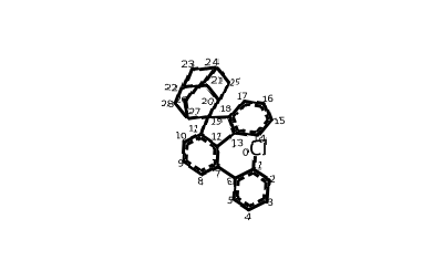 Clc1ccccc1-c1cccc2c1-c1ccccc1C21C2CC3CC(C2)CC1C3